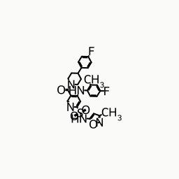 Cc1cc(NS(=O)(=O)c2cc(Nc3ccc(F)cc3C)c(C(=O)N3CCC(c4ccc(F)cc4)CC3)cn2)on1